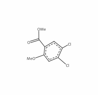 COC(=O)c1cc(Cl)c(Cl)cc1OC